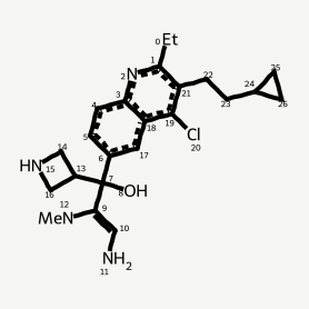 CCc1nc2ccc(C(O)(/C(=C/N)NC)C3CNC3)cc2c(Cl)c1CCC1CC1